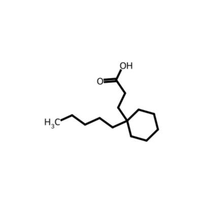 CCCCCC1(CCC(=O)O)CCCCC1